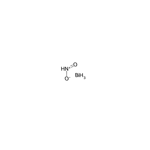 O=[NH+][O-].[BiH3]